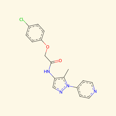 Cc1c(NC(=O)COc2ccc(Cl)cc2)cnn1-c1ccncc1